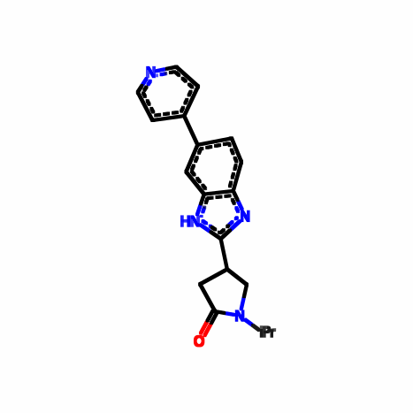 CC(C)N1CC(c2nc3ccc(-c4ccncc4)cc3[nH]2)CC1=O